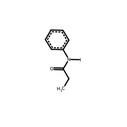 CCC(=O)N(I)c1cc[c]cc1